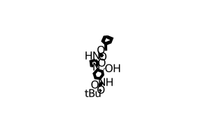 CC(C)(C)OC(=O)N[C@@H]1CC[C@H](N2CCC(NC(=O)OCc3ccccc3)C2=O)[C@H](CO)C1